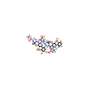 CC(C)(C)OC(=O)N1CCN2C(=O)c3c(N4CC(O)CC4(C)CN4CCN5C(=O)c6c(N7CC(O)CC7(C)C)nc(-c7c(F)ccc(F)c7O)c(F)c6OC[C@H]5C4)nc(-c4c(F)ccc(F)c4O)c(F)c3OC[C@H]2C1